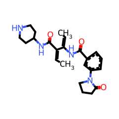 C/C=C(NC(=O)c1cccc(N2CCCC2=O)c1)\C(=C/C)C(=O)NC1CCNCC1